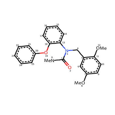 CNC(=O)N(Cc1cc(OC)ccc1OC)c1ccccc1Oc1ccccc1